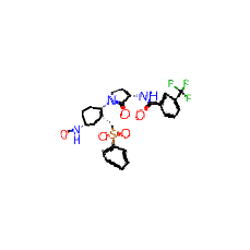 O=CN[C@@H]1CC[C@H](N2CC[C@H](NC(=O)c3cccc(C(F)(F)F)c3)C2=O)[C@H](CS(=O)(=O)c2ccccc2)C1